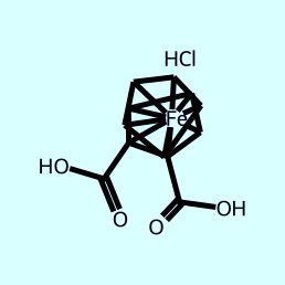 Cl.O=C(O)[C]12[CH]3[CH]4[CH]5[C]1(C(=O)O)[Fe]43521678[CH]2[CH]1[CH]6[CH]7[CH]28